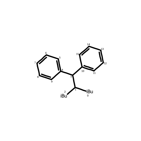 CCC(C)C(C(C)CC)C(c1ccccc1)c1ccccc1